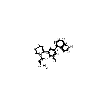 C=CC(=O)N1CCOCC1c1cc(Cl)cc(-c2nccc3[nH]ccc23)c1